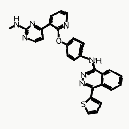 CNc1nccc(-c2cccnc2Oc2ccc(Nc3nnc(-c4cccs4)c4ccccc34)cc2)n1